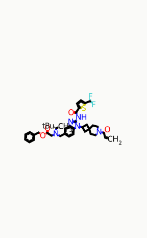 C=CC(=O)N1CCC2(CC1)CC(n1c(NC(=O)c3ccc(C(F)F)s3)nc3cc(CN(CC(=O)OCc4ccccc4)[C@@H](C)C(C)(C)C)ccc31)C2